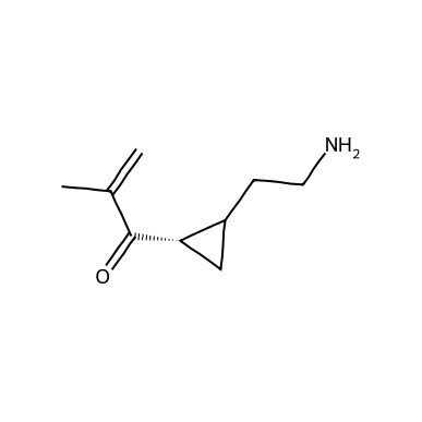 C=C(C)C(=O)[C@H]1CC1CCN